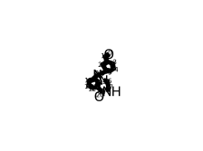 O=Cc1cccc(-c2nc3cccc4c3n2CCNC4=O)c1